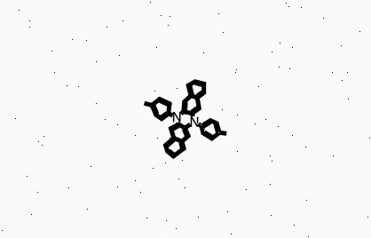 Cc1ccc(N2c3cc4ccccc4cc3N(c3ccc(C)cc3)c3cc4ccccc4cc32)cc1